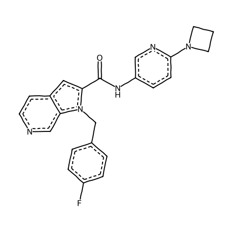 O=C(Nc1ccc(N2CCC2)nc1)c1cc2ccncc2n1Cc1ccc(F)cc1